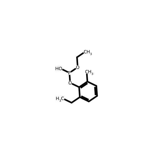 CCOP(O)Oc1c(C)cccc1CC